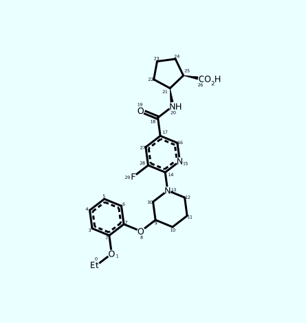 CCOc1ccccc1OC1CCCN(c2ncc(C(=O)N[C@H]3CCC[C@H]3C(=O)O)cc2F)C1